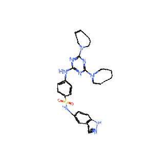 O=S(=O)(Nc1ccc2[nH]ncc2c1)c1ccc(Nc2nc(N3CCCCC3)nc(N3CCCCC3)n2)cc1